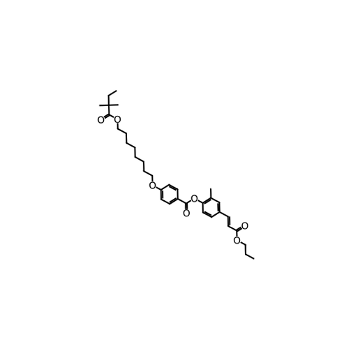 CCCOC(=O)/C=C/c1ccc(OC(=O)c2ccc(OCCCCCCCCOC(=O)C(C)(C)CC)cc2)c(C)c1